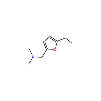 CCc1ccc(CN(C)C)o1